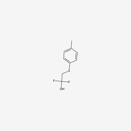 Cc1ccc(SCC(O)(F)F)cc1